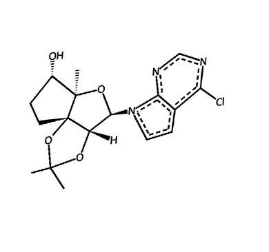 CC1(C)O[C@H]2[C@H](n3ccc4c(Cl)ncnc43)O[C@]3(C)[C@@H](O)CC[C@]23O1